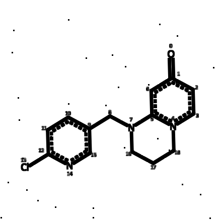 O=c1ccn2c(c1)N(Cc1ccc(Cl)nc1)CCC2